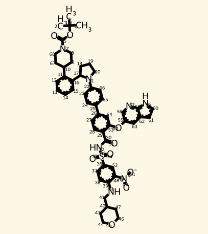 CC(C)(C)OC(=O)N1CCC(c2ccccc2C2CCCN2c2ccc(-c3ccc(C(=O)NS(=O)(=O)c4ccc(NCC5CCOCC5)c([N+](=O)[O-])c4)c(Oc4cnc5[nH]ccc5c4)c3)cc2)CC1